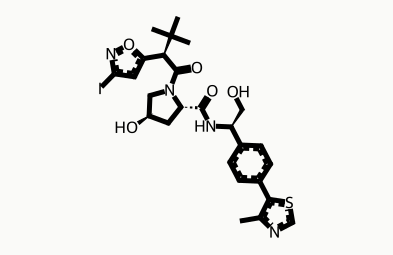 Cc1ncsc1-c1ccc([C@H](CO)NC(=O)[C@@H]2C[C@@H](O)CN2C(=O)[C@@H](c2cc(I)no2)C(C)(C)C)cc1